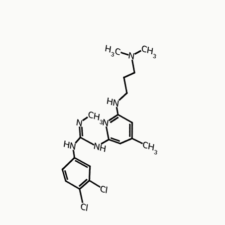 C/N=C(/Nc1ccc(Cl)c(Cl)c1)Nc1cc(C)cc(NCCCN(C)C)n1